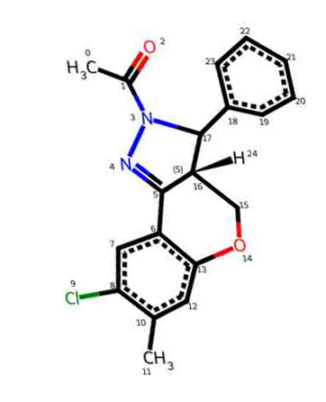 CC(=O)N1N=C2c3cc(Cl)c(C)cc3OC[C@H]2C1c1ccccc1